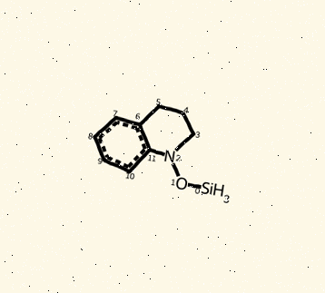 [SiH3]ON1CCCc2ccccc21